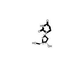 O=c1ccn([C@@H]2C[C@H](O)[C@H](CO)S2)c(=O)[nH]1